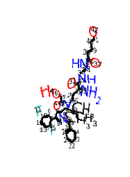 CC(C)(C)C(c1cc(-c2cc(F)ccc2F)cn1Cc1ccccc1)N(CCC(N)C(=O)NCCNC(=O)CCCC=O)C(=O)CO